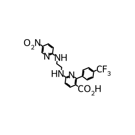 O=C(O)c1ccc(NCCNc2ccc([N+](=O)[O-])cn2)nc1-c1ccc(C(F)(F)F)cc1